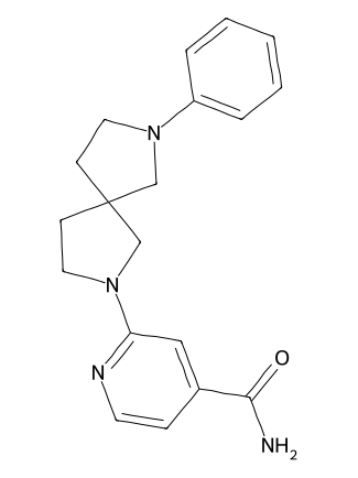 NC(=O)c1ccnc(N2CCC3(CCN(c4ccccc4)C3)C2)c1